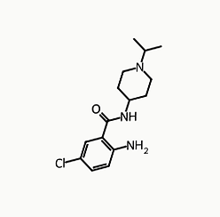 CC(C)N1CCC(NC(=O)c2cc(Cl)ccc2N)CC1